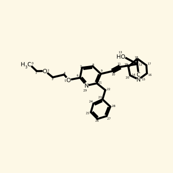 CCOCCOc1ccc(C#CC2(O)CN3CCC2CC3)c(Cc2ccccc2)n1